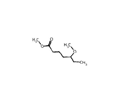 CCC(CCCC(=O)OC)OC